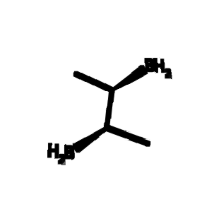 B[C@H](C)[C@H](B)C